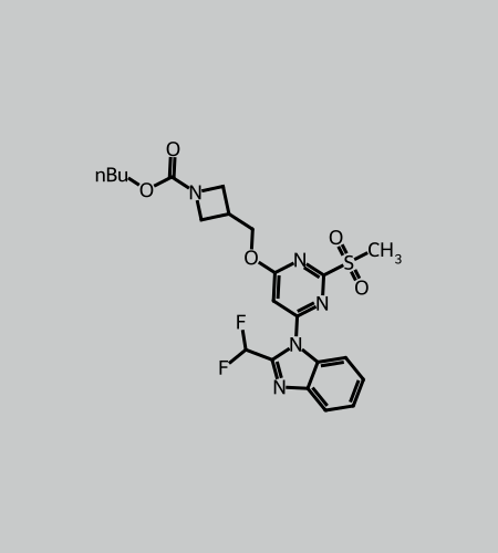 CCCCOC(=O)N1CC(COc2cc(-n3c(C(F)F)nc4ccccc43)nc(S(C)(=O)=O)n2)C1